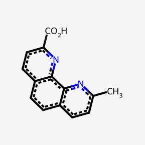 Cc1ccc2ccc3ccc(C(=O)O)nc3c2n1